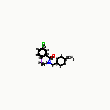 CC(C)N(CC1CCC(C(F)(F)F)CC1)C(=O)c1cc(Cl)ccc1I